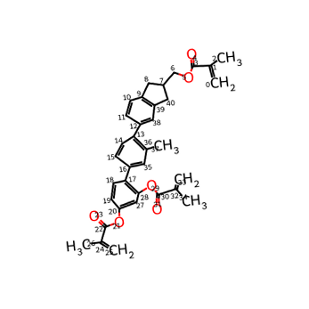 C=C(C)C(=O)OCC1Cc2ccc(-c3ccc(-c4ccc(OC(=O)C(=C)C)cc4OC(=O)C(=C)C)cc3C)cc2C1